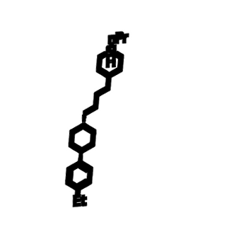 CCC[SiH]1CCC(CCCC[C@H]2CC[C@H](c3ccc(CC)cc3)CC2)CC1